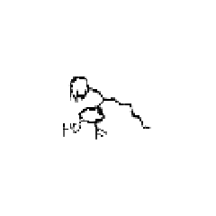 CCCCCCCC(Cc1cccnc1)c1ccc(O)c(F)c1